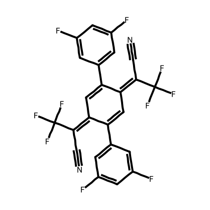 N#C/C(=c1/cc(-c2cc(F)cc(F)c2)/c(=C(\C#N)C(F)(F)F)cc1-c1cc(F)cc(F)c1)C(F)(F)F